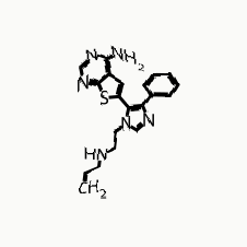 C=CCNCCn1cnc(-c2ccccc2)c1-c1cc2c(N)ncnc2s1